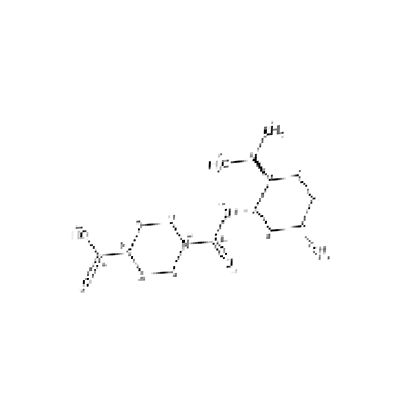 CC(C)[C@H]1CC[C@H](C)C[C@@H]1OC(=O)N1CCC(C(=O)O)CC1